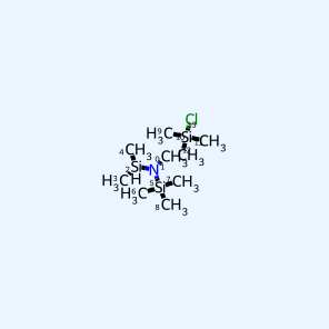 CN([SiH](C)C)[Si](C)(C)C.C[Si](C)(C)Cl